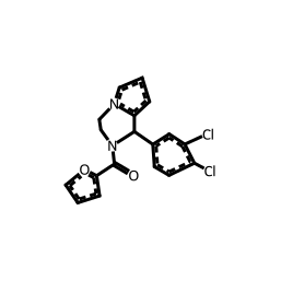 O=C(c1ccco1)N1CCn2cccc2C1c1ccc(Cl)c(Cl)c1